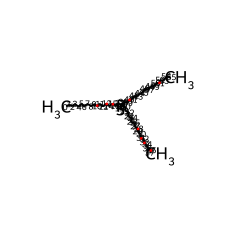 CCCCCCCCCCCCCCCCCCP(=S)(CCCCCCCCCCCCCCCCCC)CCCCCCCCCCCCCCCCCC